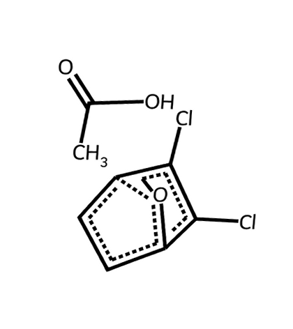 CC(=O)O.Clc1c(Cl)c2ccc1o2